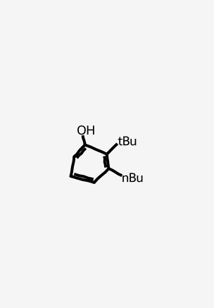 CCCCc1cccc(O)c1C(C)(C)C